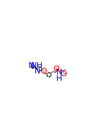 CO[C@H](C)CNC(=O)CCc1cccc(COc2ccc(-c3ccn[nH]3)nc2)c1